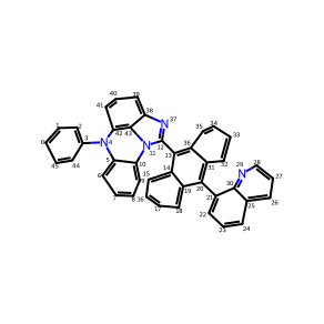 c1ccc(N2c3ccccc3-n3c(-c4c5ccccc5c(-c5cccc6cccnc56)c5ccccc45)nc4cccc2c43)cc1